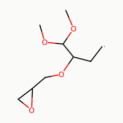 [CH2]CC(OCC1CO1)C(OC)OC